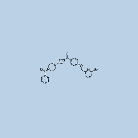 O=C(c1ccccc1)N1CCN(C2CN(C(=O)c3ccc(OCc4cccc(Br)n4)cc3)C2)CC1